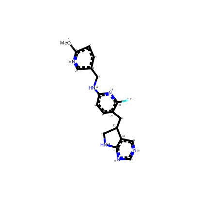 COc1ccc(CNc2ccc(CC3CNc4ncncc43)c(F)n2)cn1